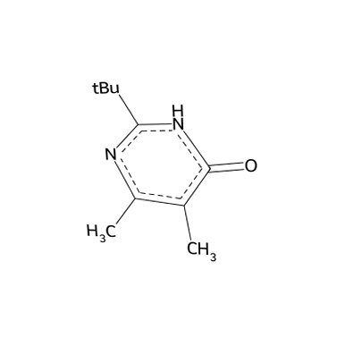 Cc1nc(C(C)(C)C)[nH]c(=O)c1C